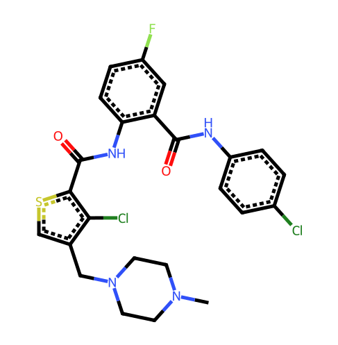 CN1CCN(Cc2csc(C(=O)Nc3ccc(F)cc3C(=O)Nc3ccc(Cl)cc3)c2Cl)CC1